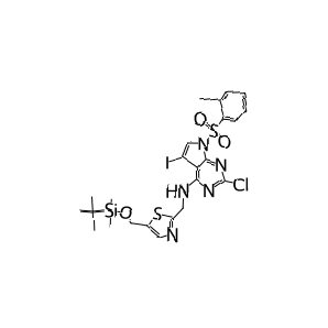 Cc1ccccc1S(=O)(=O)n1cc(I)c2c(NCc3ncc(CO[Si](C)(C)C(C)(C)C)s3)nc(Cl)nc21